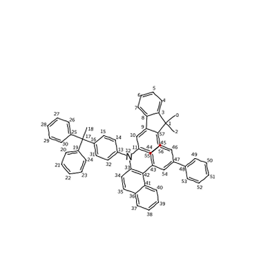 CC1(C)c2ccccc2-c2cc(N(c3ccc(C(C)(c4ccccc4)c4ccccc4)cc3)c3ccc4ccccc4c3-c3cccc(-c4ccccc4)c3)ccc21